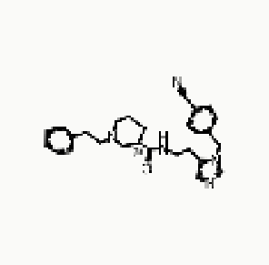 N#Cc1ccc(Cn2cncc2CCNC(=O)[C@@H]2CCCN(CCc3ccccc3)C2)cc1